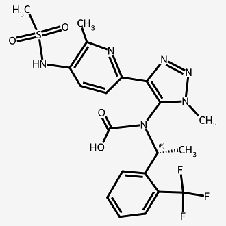 Cc1nc(-c2nnn(C)c2N(C(=O)O)[C@H](C)c2ccccc2C(F)(F)F)ccc1NS(C)(=O)=O